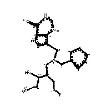 CSCC(CN(Cc1ccccc1)Cc1c[nH]c2c(=O)[nH]cnc12)C(O)CO